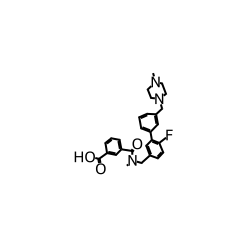 CN1CCN(Cc2cccc(-c3cc(CN(C)C(=O)c4cccc(C(=O)O)c4)ccc3F)c2)CC1